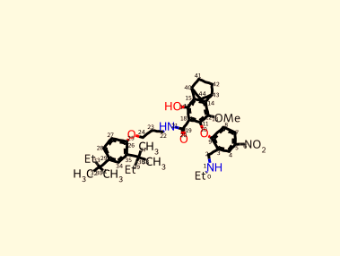 CCNCc1cc([N+](=O)[O-])ccc1Oc1c(OC)c2c(c(O)c1C(=O)NCCCOc1ccc(C(C)(C)CC)cc1C(C)(C)CC)C1CCC2C1